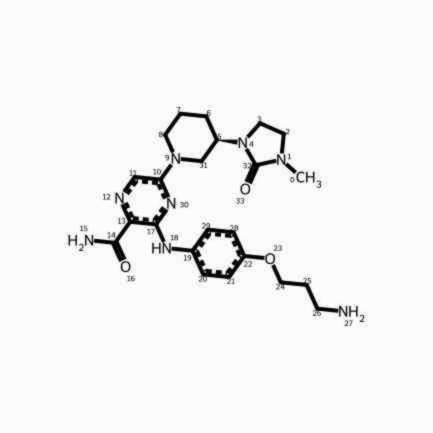 CN1CCN([C@@H]2CCCN(c3cnc(C(N)=O)c(Nc4ccc(OCCCN)cc4)n3)C2)C1=O